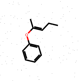 [CH2]C(=CCC)Oc1ccccc1